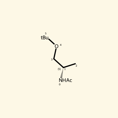 CC(=O)N[C@@H](C)COC(C)(C)C